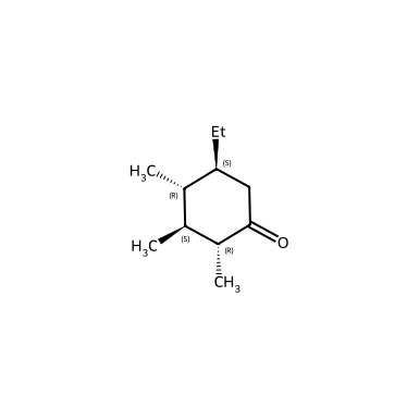 CC[C@H]1CC(=O)[C@H](C)[C@@H](C)[C@@H]1C